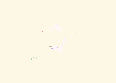 [CH2]c1noc(Cl)n1